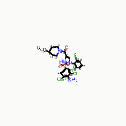 CC1CCN(C(=O)C(CNc2c(F)cccc2F)NS(=O)(=O)c2cc(Cl)c(N)c(Cl)c2)CC1